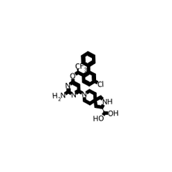 Nc1nc(O[C@H](c2ccc(Cl)cc2-c2ccccc2)C(F)(F)F)cc(N2CCC3(CC2)CN[C@H](C(O)O)C3)n1